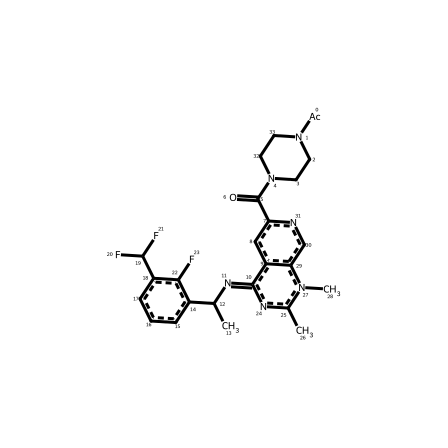 CC(=O)N1CCN(C(=O)c2cc3c(=NC(C)c4cccc(C(F)F)c4F)nc(C)n(C)c3cn2)CC1